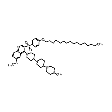 CCCCCCCCCCCCCCCCOc1ccc(S(=O)(=O)c2cnc3ccc(SC)cc3c2N2CCC(N3CCC(N4CCN(C)CC4)CC3)CC2)cc1